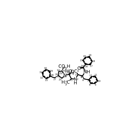 CC(NC(C(=O)O)[C@H](Cc1ccccc1)NC(=O)c1ccccc1)C(=O)N1C[C@@H](Cc2ccccc2)C[C@H]1C(=O)O